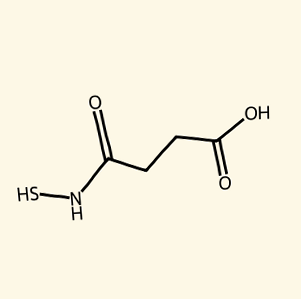 O=C(O)CCC(=O)NS